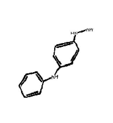 CCCNc1ccc(Nc2ccccc2)cc1